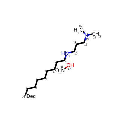 CCCCCCCCCCCCCCCCCCNCCCN(C)C.O=[N+]([O-])O